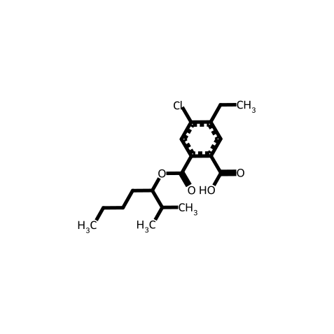 CCCCC(OC(=O)c1cc(Cl)c(CC)cc1C(=O)O)C(C)C